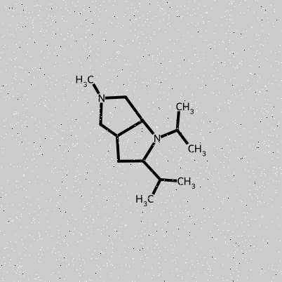 CC(C)C1CC2CN(C)CC2N1C(C)C